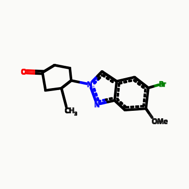 COc1cc2nn(C3CCC(=O)CC3C)cc2cc1Br